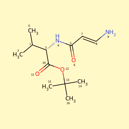 CC(C)[C@H](NC(=O)C=CN)C(=O)OC(C)(C)C